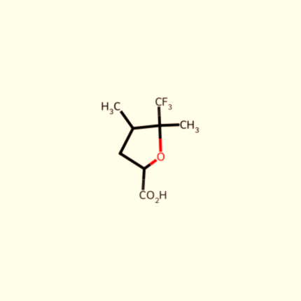 CC1CC(C(=O)O)OC1(C)C(F)(F)F